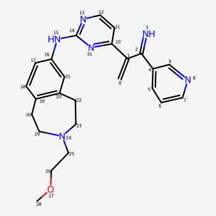 C=C(C(=N)c1cccnc1)c1ccnc(Nc2ccc3c(c2)CCN(CCOC)CC3)n1